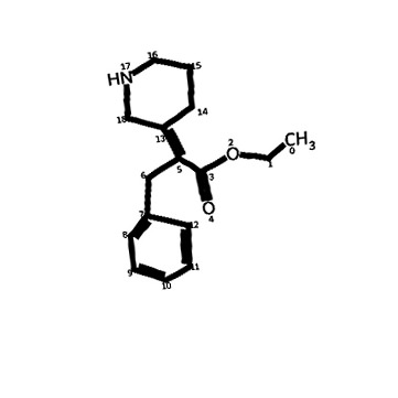 CCOC(=O)C(Cc1ccccc1)=C1CCCNC1